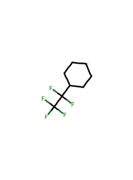 FC(F)(F)C(F)(F)C1CC[CH]CC1